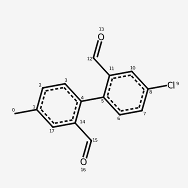 Cc1ccc(-c2ccc(Cl)cc2C=O)c(C=O)c1